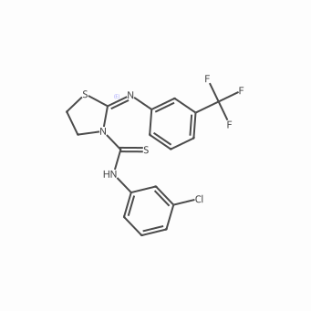 FC(F)(F)c1cccc(/N=C2/SCCN2C(=S)Nc2cccc(Cl)c2)c1